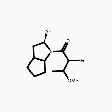 COC(C)C(C(=O)N1C2CCCC2C[C@H]1S)C(C)C